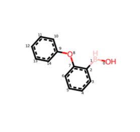 OBc1ccccc1Oc1ccccc1